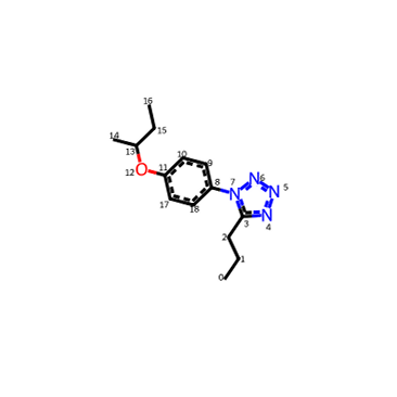 CCCc1nnnn1-c1ccc(OC(C)CC)cc1